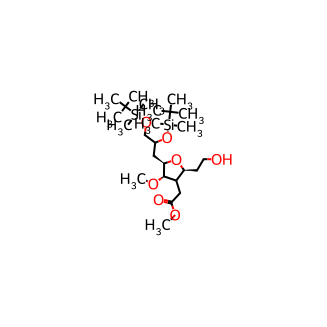 COC(=O)CC1[C@H](CCO)O[C@H](CC(CO[Si](C)(C)C(C)(C)C)O[Si](C)(C)C(C)(C)C)[C@@H]1OC